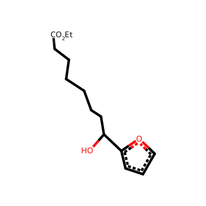 CCOC(=O)CCCCCCC(O)c1ccco1